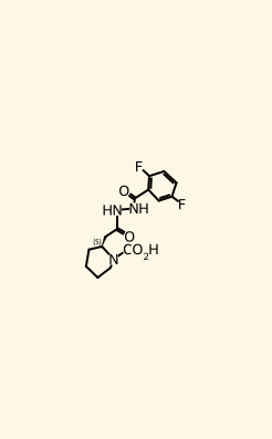 O=C(C[C@@H]1CCCCN1C(=O)O)NNC(=O)c1cc(F)ccc1F